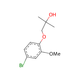 COc1cc(Br)ccc1OCC(C)(C)O